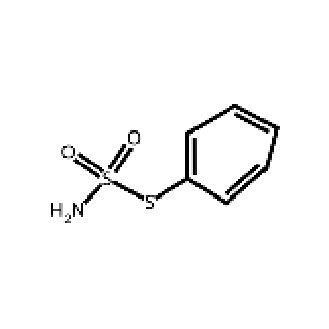 NS(=O)(=O)Sc1ccccc1